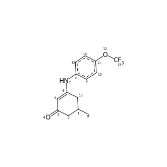 CC1CC(=O)C=C(Nc2ccc(OC(F)(F)F)cc2)C1